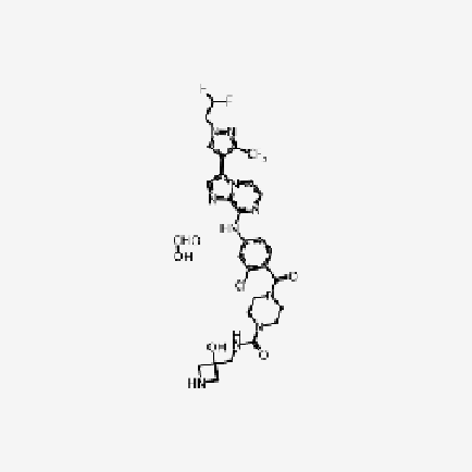 O=C(NCC1(O)CNC1)N1CCN(C(=O)c2ccc(Nc3nccn4c(-c5cn(CC(F)F)nc5C(F)(F)F)cnc34)cc2Cl)CC1.O=CO